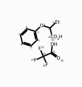 CCC(Oc1ccccc1)C(=O)O.O=C(O)C(F)(F)F